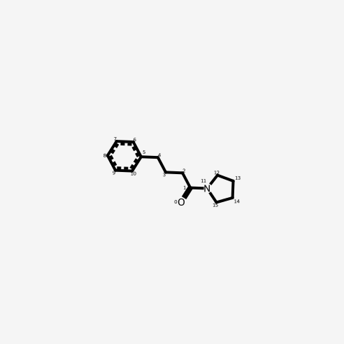 O=C(CCCc1ccccc1)N1CCCC1